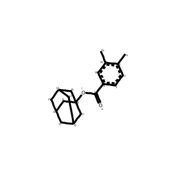 Cc1ccc(C(=O)OC23CC4CC(CC(C4)C2)C3)cc1C